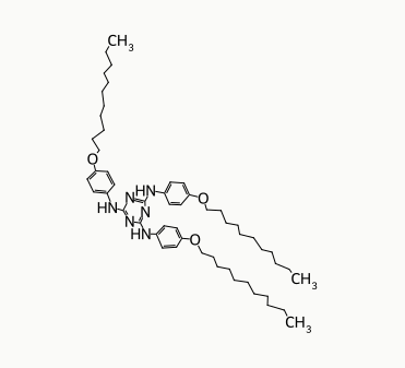 CCCCCCCCCCCOc1ccc(Nc2nc(Nc3ccc(OCCCCCCCCCCC)cc3)nc(Nc3ccc(OCCCCCCCCCCC)cc3)n2)cc1